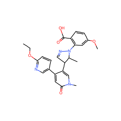 CCOc1ccc(-c2cc(=O)n(C)cc2C2C=NN(c3cc(OC)ccc3C(=O)O)C2C)cn1